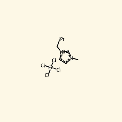 CC(C)C[n+]1ccn(C)c1.[Cl][Fe]([Cl])([Cl])[Cl]